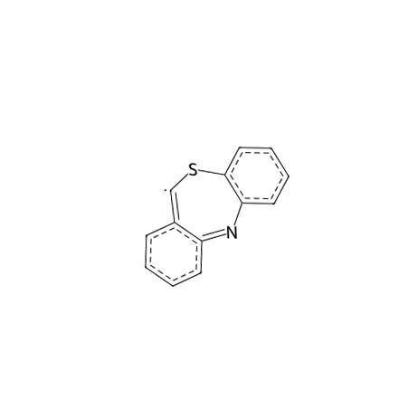 [C]1=c2ccccc2=Nc2ccccc2S1